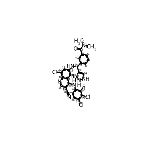 CN(C)C(=O)c1cccc([C@H](Nc2cc(Cl)c3ncc(C#N)c(Nc4ccc(Cl)c(Cl)c4F)c3c2)C2=CNNN2)c1